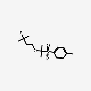 Cc1ccc(S(=O)(=O)C(C)(C)OCCC(C)(C)F)cc1